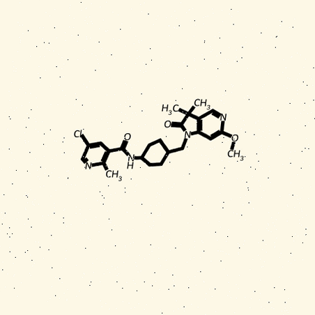 COc1cc2c(cn1)C(C)(C)C(=O)N2CC1CCC(NC(=O)c2cc(Cl)cnc2C)CC1